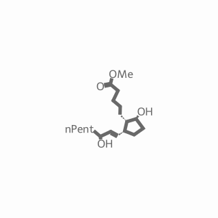 CCCCCC(O)C=C[C@H]1CC[C@H](O)[C@H]1CCCCC(=O)OC